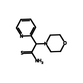 NC(=S)C(c1ccccn1)N1CCOCC1